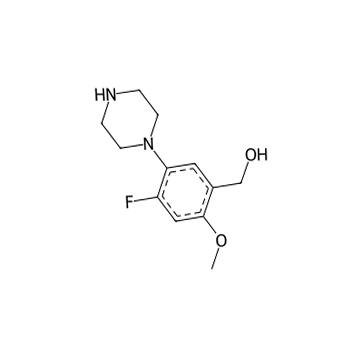 COc1cc(F)c(N2CCNCC2)cc1CO